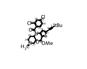 COC(=O)c1sc(C#CC(C)(C)C)cc1N(C(=O)c1ccc(Cl)cc1Cl)C1CCN(C)CC1